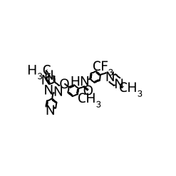 Cc1ccc(Oc2nc(-c3ccncc3)nc3nn(C)cc23)cc1C(=O)Nc1ccc(CN2CCN(C)CC2)c(C(F)(F)F)c1